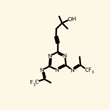 C/C(=N\c1nc(C#CCC(C)(C)O)nc(/N=C(\C)C(F)(F)F)n1)C(F)(F)F